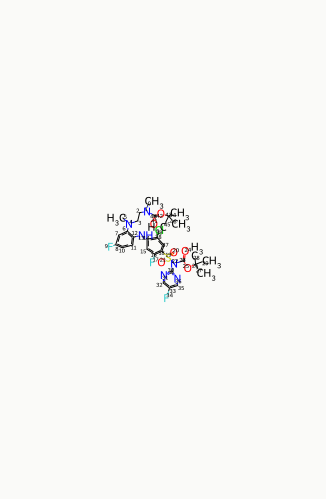 CN(CCN(C)c1cc(F)ccc1Nc1cc(F)c(S(=O)(=O)N(C(=O)OC(C)(C)C)c2ncc(F)cn2)cc1Cl)C(=O)OC(C)(C)C